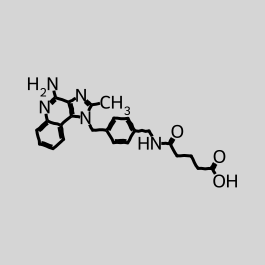 Cc1nc2c(N)nc3ccccc3c2n1Cc1ccc(CNC(=O)CCCC(=O)O)cc1